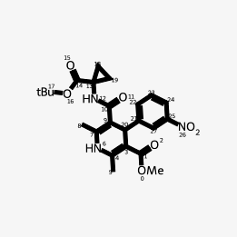 COC(=O)C1=C(C)NC(C)=C(C(=O)NC2(C(=O)OC(C)(C)C)CC2)C1c1cccc([N+](=O)[O-])c1